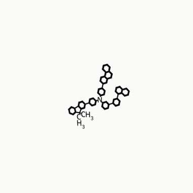 CC1(C)c2ccccc2-c2ccc(-c3ccc(N(c4ccc(-c5ccc6c(ccc7ccccc76)c5)cc4)c4cccc(-c5cccc(-c6cccc7ccccc67)c5)c4)cc3)cc21